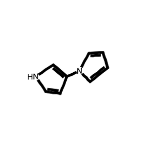 c1ccn(-c2cc[nH]c2)c1